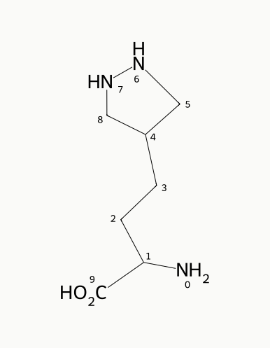 NC(CCC1CNNC1)C(=O)O